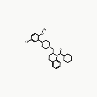 CCCOc1ccc(Cl)cc1N1CCN(CC2CCc3ccccc3N2C(=O)C2CCCCC2)CC1